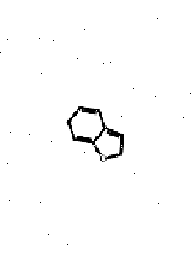 C1=CC2=CCOC2=CC1